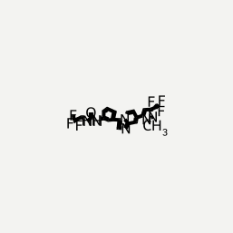 Cn1nc(C(F)(F)F)cc1-c1ccn2c(-c3cccc(NC(=O)NCC(F)(F)F)c3)cnc2c1